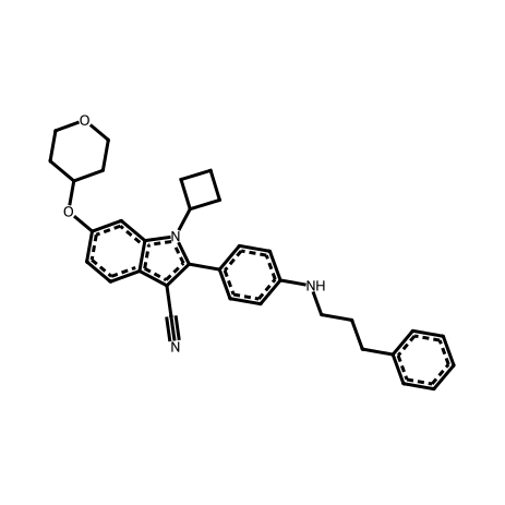 N#Cc1c(-c2ccc(NCCCc3ccccc3)cc2)n(C2CCC2)c2cc(OC3CCOCC3)ccc12